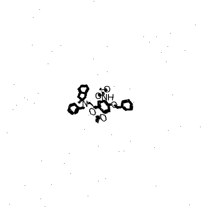 CC(=O)O[C@@H](CN(Cc1ccccc1)C1(C)Cc2ccccc2C1)c1ccc(OCc2ccccc2)c(NS(C)(=O)=O)c1